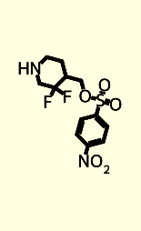 O=[N+]([O-])c1ccc(S(=O)(=O)OCC2CCNCC2(F)F)cc1